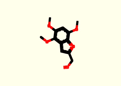 COc1cc(OC)c2oc(CO)cc2c1OC